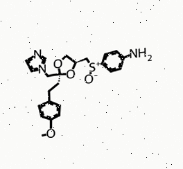 COc1ccc(CC[C@]2(Cn3ccnc3)OC[C@@H](C[S+]([O-])c3ccc(N)cc3)O2)cc1